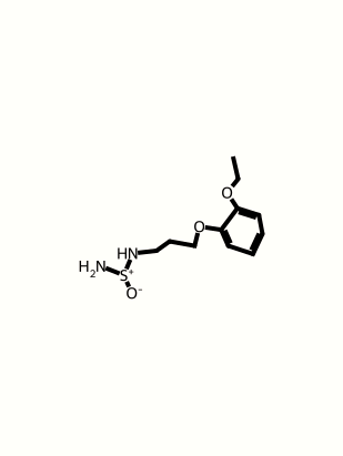 CCOc1ccccc1OCCCN[S+](N)[O-]